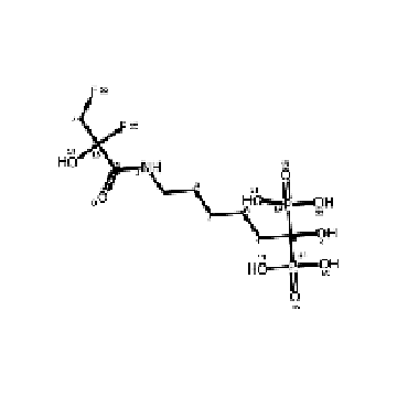 O=C(NCCCCCC(O)(P(=O)(O)O)P(=O)(O)O)C(O)(F)CF